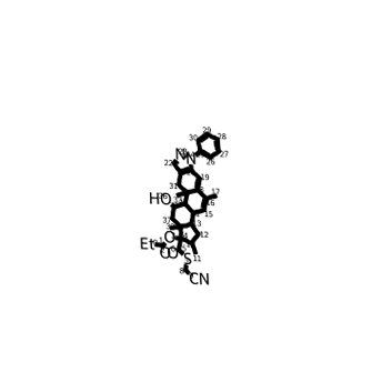 CCC(=O)OC1(C(=O)SCC#N)C(C)CC2C3C=C(C)C4=Cc5c(cnn5-c5ccccc5)CC4(C)C3C(O)CC21C